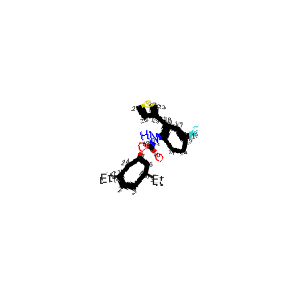 CC[C@@H]1CC[C@H](CC)CC(OC(=O)Nc2ccc(F)cc2-c2ccsc2)C1